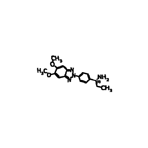 CC[C@@H](N)c1ccc(-n2nc3cc(OC)c(OC)cc3n2)cc1